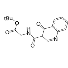 CC(C)(C)OC(=O)CNC(=O)C1C=Nc2ccccc2C1=O